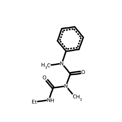 CCNC(=O)N(C)C(=O)N(C)c1ccccc1